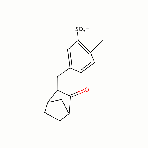 Cc1ccc(CC2C(=O)C3CCC2C3)cc1S(=O)(=O)O